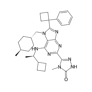 C[C@@H](Nc1nc(-c2n[nH]c(=O)n2C)nc2nc(C3(c4ccccc4)CCC3)n(C[C@H]3CC[C@H](C)CC3)c12)C1CCC1